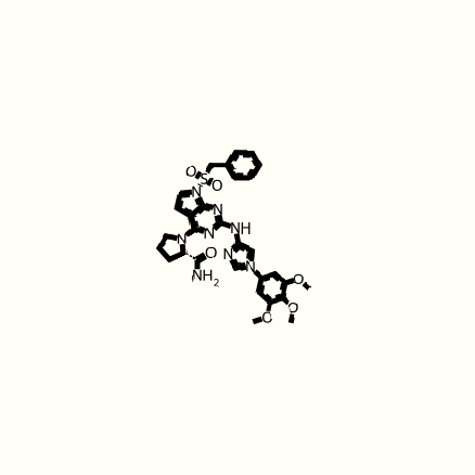 COc1cc(-n2cnc(Nc3nc(N4CCC[C@H]4C(N)=O)c4ccn(S(=O)(=O)Cc5ccccc5)c4n3)c2)cc(OC)c1OC